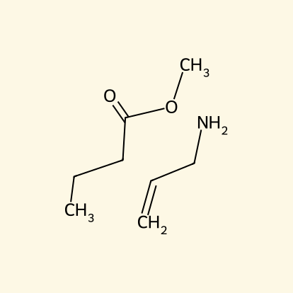 C=CCN.CCCC(=O)OC